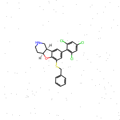 Clc1cc(Cl)c(-c2cc(SCc3ccccc3)c3c(c2)[C@@H]2CNCC[C@@H]2O3)c(Cl)c1